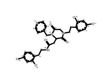 O=C(CC1C(=O)N(CCc2ccc(Cl)cc2Cl)CC(=O)N1Cc1ccncc1)NCCc1ccc(Cl)cc1Cl